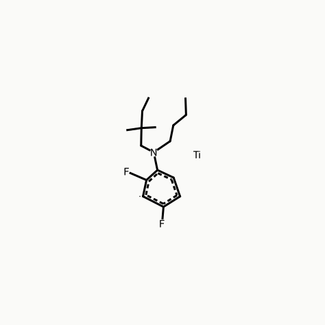 CCCCN(CC(C)(C)CC)c1ccc(F)[c]c1F.[Ti]